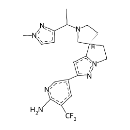 CC(c1ccn(C)n1)N1CC[C@@]2(CCn3nc(-c4cnc(N)c(C(F)(F)F)c4)cc32)C1